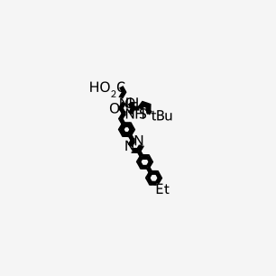 CCC1CCC(C2CC=C(c3cnc(-c4ccc(CC(NC(=O)c5ccc(C(C)(C)C)s5)C(=O)NCCC(=O)O)cc4)nc3)CC2)CC1